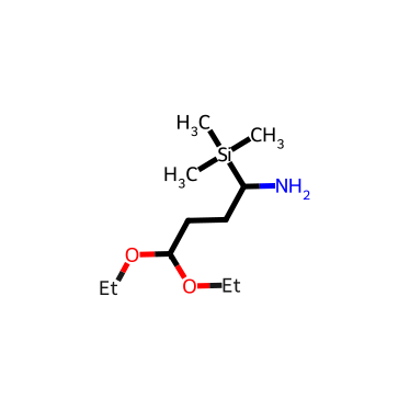 CCO[C](CCC(N)[Si](C)(C)C)OCC